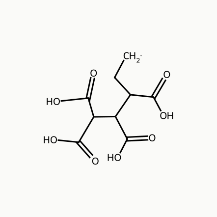 [CH2]CC(C(=O)O)C(C(=O)O)C(C(=O)O)C(=O)O